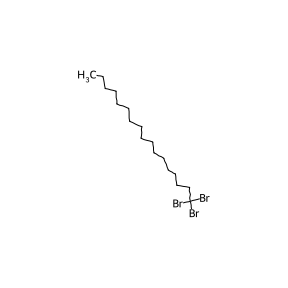 CCCCCCCCCCCCCCCCC(Br)(Br)Br